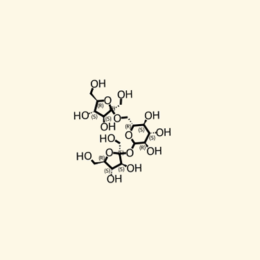 OC[C@H]1O[C@@](CO)(OC[C@H]2OC(O[C@]3(CO)O[C@H](CO)[C@@H](O)[C@@H]3O)[C@H](O)[C@@H](O)[C@@H]2O)[C@@H](O)[C@@H]1O